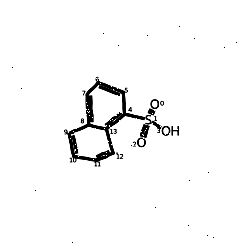 O=S(=O)(O)c1cccc2[c]cc[c]c12